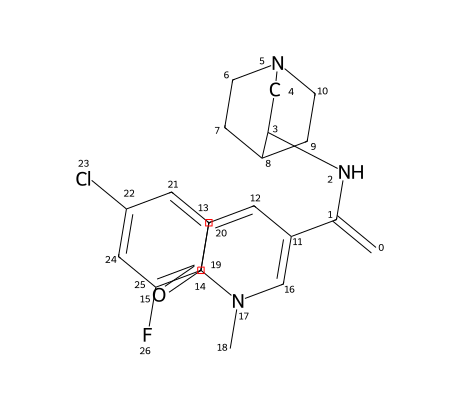 C=C(NC1CN2CCC1CC2)C(/C=C\C=O)=C/N(C)c1ccc(Cl)cc1F